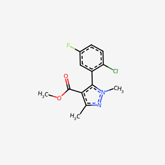 COC(=O)c1c(C)nn(C)c1-c1cc(F)ccc1Cl